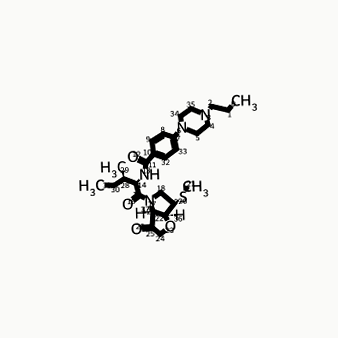 CCCN1CCN(c2ccc(C(=O)N[C@H](C(=O)N3C[C@H](SC)[C@H]4OCC(=O)[C@H]43)[C@@H](C)CC)cc2)CC1